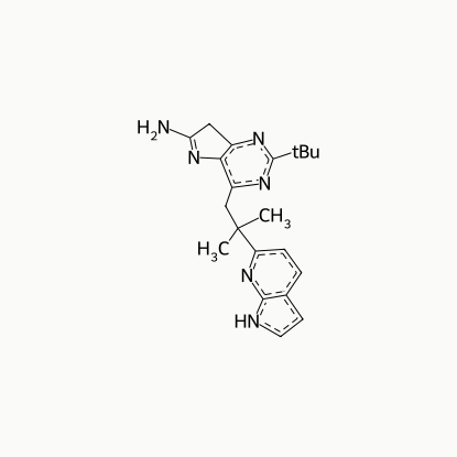 CC(C)(C)c1nc2c(c(CC(C)(C)c3ccc4cc[nH]c4n3)n1)N=C(N)C2